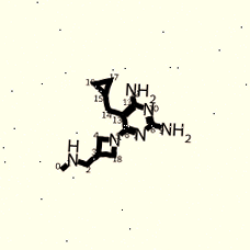 CNCC1CN(c2nc(N)nc(N)c2CC2CC2)C1